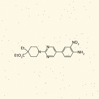 CCOC(=O)C1(CC)CCN(c2ncc(-c3ccc(N)c([N+](=O)[O-])c3)cn2)CC1